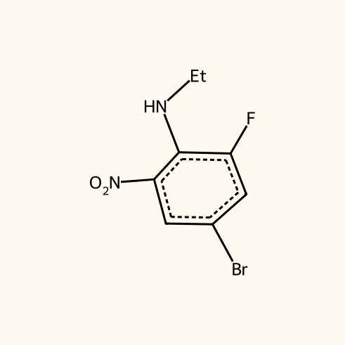 CCNc1c(F)cc(Br)cc1[N+](=O)[O-]